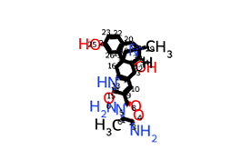 CC(C(N)=O)N(N)C(=O)c1cc2c([nH]c1=O)CC13CC4C(c5ccc(O)cc51)N(C)[C@H]4[C@]3(O)C2